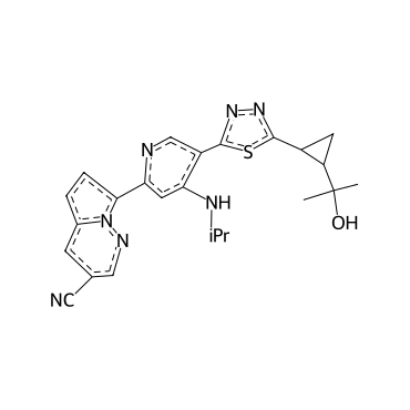 CC(C)Nc1cc(-c2ccc3cc(C#N)cnn23)ncc1-c1nnc(C2CC2C(C)(C)O)s1